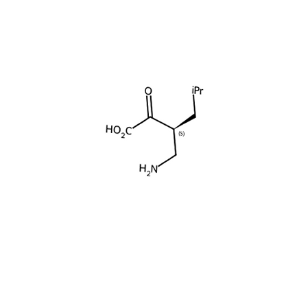 CC(C)C[C@@H](CN)C(=O)C(=O)O